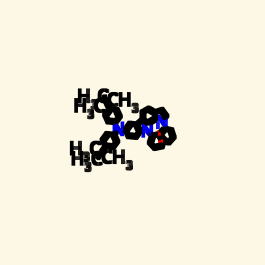 CC(C)(C)c1ccc(N(c2ccc(C(C)(C)C)cc2)c2ccc3c(c2)c2ccc4ccn(-c5ccccc5)c4c2n3-c2ccccc2)cc1